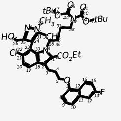 CCOC(=O)c1c(CCCOc2cccc3cc(F)ccc23)c2ccc(Cl)c(-c3c(CO)nn(C)c3C)c2n1CCCCN(C(=O)OC(C)(C)C)C(=O)OC(C)(C)C